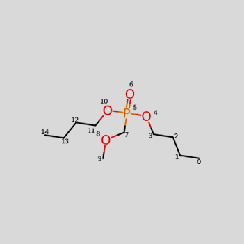 CCCCOP(=O)(COC)OCCCC